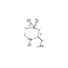 CCN1CCS(=O)(=O)CC1CC(C)C